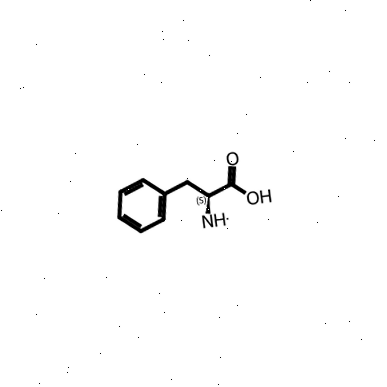 [NH][C@@H](Cc1ccccc1)C(=O)O